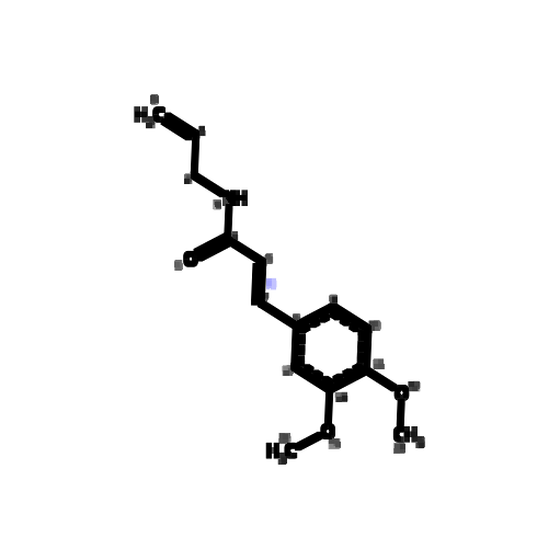 C=CCNC(=O)/C=C/c1ccc(OC)c(OC)c1